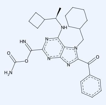 C[C@@H](Nc1nc(C(=N)OC(N)=O)nc2nc(C(=O)c3ccccc3)n(CC3CCCCC3)c12)C1CCC1